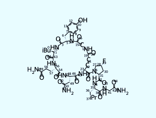 CC[C@H](C)[C@@H]1NC(=O)[C@H](Cc2ccc(O)cc2)NC(=O)CNC(=O)CC[C@@H](C(=O)N2C[C@H](F)C[C@H]2C(=O)N[C@@H](CC(C)C)C(=O)NCC(N)=O)NC(=O)[C@H](CC(N)=O)NC(=O)[C@H](CCC(N)=O)NC1=O